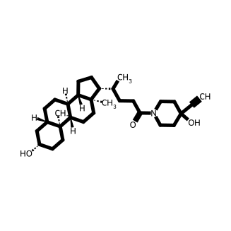 C#CC1(O)CCN(C(=O)CCC(C)[C@H]2CC[C@H]3[C@@H]4CC[C@H]5C[C@@H](O)CC[C@]5(C)[C@H]4CC[C@]23C)CC1